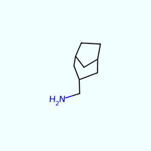 NCC1CC2CCC(C1)C2